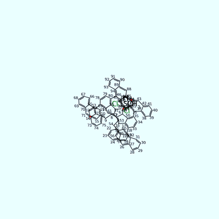 C[SiH](C)[Zr]([Cl])([Cl])([CH]1C(CCc2ccccc2)=Cc2c(-c3c4ccccc4cc4ccccc34)ccc(-c3c4ccccc4cc4ccccc34)c21)[CH]1C(CCc2ccccc2)=Cc2c(-c3c4ccccc4cc4ccccc34)ccc(-c3c4ccccc4cc4ccccc34)c21